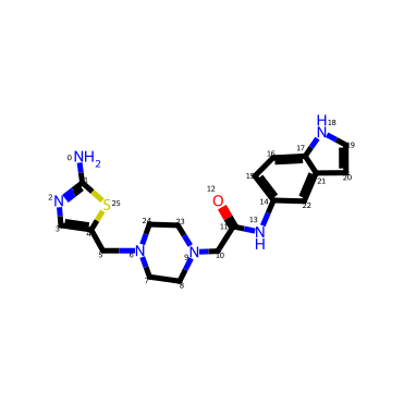 Nc1ncc(CN2CCN(CC(=O)Nc3ccc4[nH]ccc4c3)CC2)s1